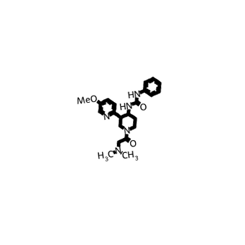 COc1ccc(C2CN(C(=O)CN(C)C)CCC2NC(=O)Nc2ccccc2)nc1